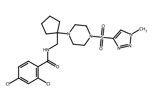 Cn1cc(S(=O)(=O)N2CCN(C3(CNC(=O)c4ccc(Cl)cc4Cl)CCCC3)CC2)nn1